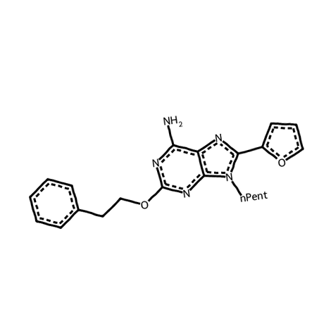 CCCCCn1c(-c2ccco2)nc2c(N)nc(OCCc3ccccc3)nc21